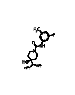 CCCC(CCC)C1(O)CCN(C(=O)Nc2cc(F)cc(C(F)(F)F)c2)CC1